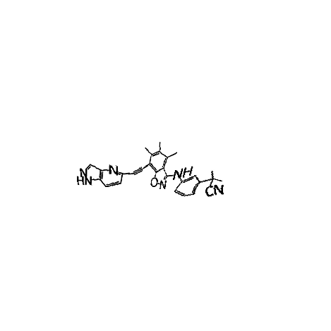 Cc1c(C)c(C)c2c(Nc3cccc(C(C)(C)C#N)c3)noc2c1C#Cc1ccc2[nH]ncc2n1